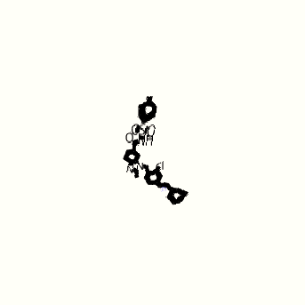 Cc1ccc(S(=O)(=O)NC(=O)c2ccc3nc(C)n(Cc4ccc(/C=C/c5ccccc5)cc4Cl)c3c2)cc1